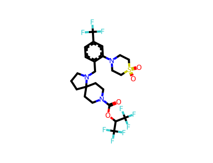 O=C(OC(C(F)(F)F)C(F)(F)F)N1CCC2(CCCN2Cc2ccc(C(F)(F)F)cc2N2CCS(=O)(=O)CC2)CC1